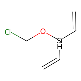 C=C[SiH](C=C)OCCl